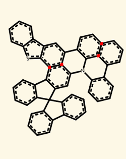 c1ccc(-c2ccccc2N(c2ccc3c(c2)C2(c4ccccc4-c4ccccc42)c2ccccc2-3)c2ccccc2-c2ccc3sc4ccccc4c3c2)cc1